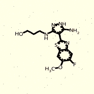 COc1cc2sc(-c3c(NCCCO)n[nH]c3N)nc2cc1F